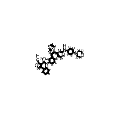 Cc1onc(-c2ccccc2)c1C(=O)Nc1cccc(-c2nc3sccn3c2-c2ccnc(Nc3ccc(N4CCOCC4)cc3)n2)c1